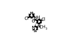 CN(c1cncnc1)c1cc(Cl)cc(C(=O)Nc2cncc(Cl)c2)c1